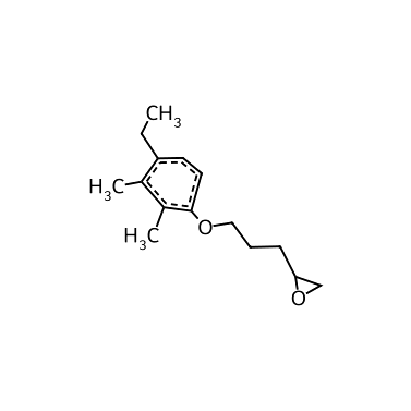 CCc1ccc(OCCCC2CO2)c(C)c1C